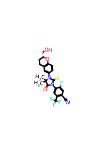 CC1(C)C(=O)N(c2cc(C(F)(F)F)c(C#N)cc2F)C(=S)N1c1ccc2c(c1)CC[C@H](CO)O2